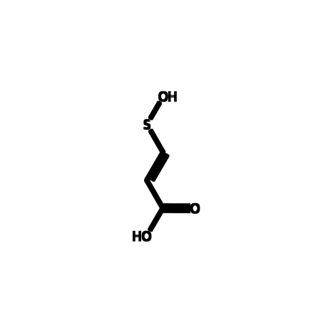 O=C(O)/C=C/SO